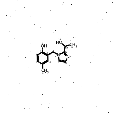 Cc1ccc(O)c(Cn2ccnc2C(C)O)c1